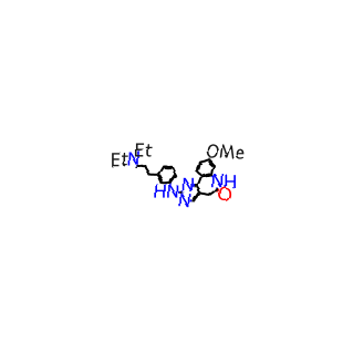 CCN(CC)CCCc1cccc(Nc2ncc3c(n2)-c2ccc(OC)cc2NC(=O)C3)c1